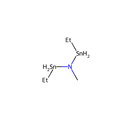 C[CH2][SnH2][N](C)[SnH2][CH2]C